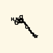 Nc1c(Cl)cc(CCCOCCCCCCBr)cc1Cl